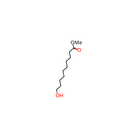 COC(=O)CCCCCCCCCO